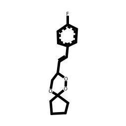 Fc1ccc(C=CC2COC3(CCCC3)OO2)cc1